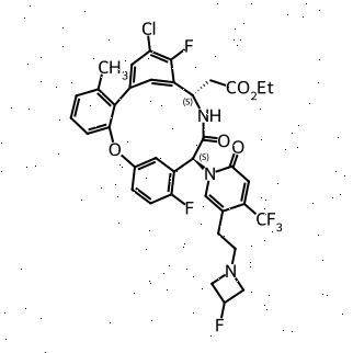 CCOC(=O)C[C@@H]1NC(=O)[C@@H](n2cc(CCN3CC(F)C3)c(C(F)(F)F)cc2=O)c2cc(ccc2F)Oc2cccc(C)c2-c2cc(Cl)c(F)c1c2